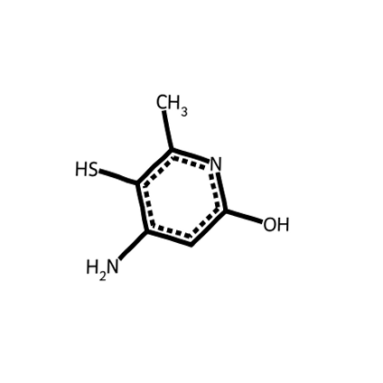 Cc1nc(O)cc(N)c1S